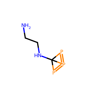 NCCNC12P=P1=P2